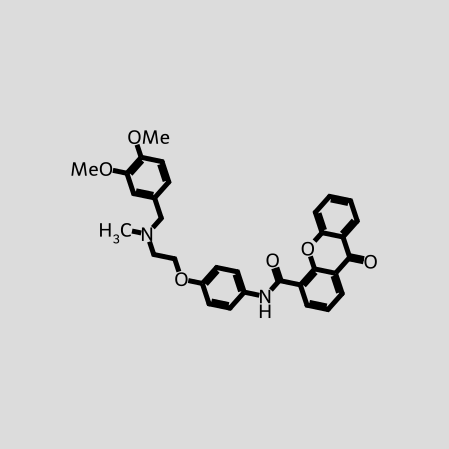 COc1ccc(CN(C)CCOc2ccc(NC(=O)c3cccc4c(=O)c5ccccc5oc34)cc2)cc1OC